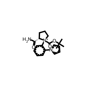 CC(C)(C)OC(=O)[N+]1(c2ccccc2-n2cccc2)CCC[C@H]1C(N)=O